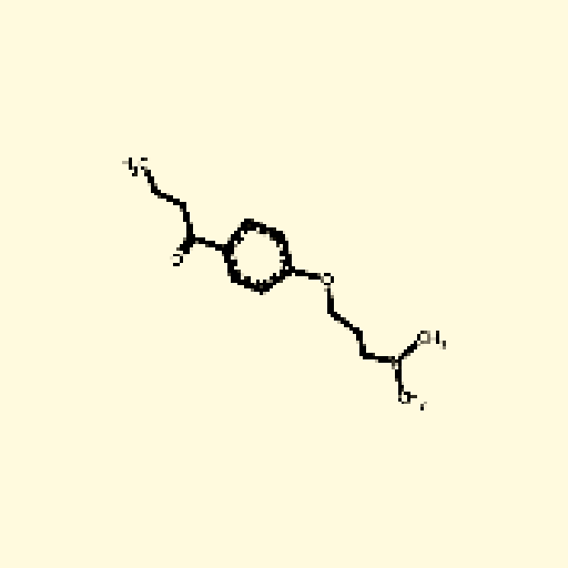 CCCC(=O)c1ccc(OCCCN(C)C)cc1